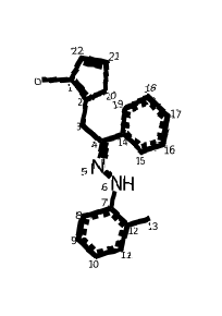 CC1=C(CC(=NNc2ccccc2C)c2ccccc2)CC=C1